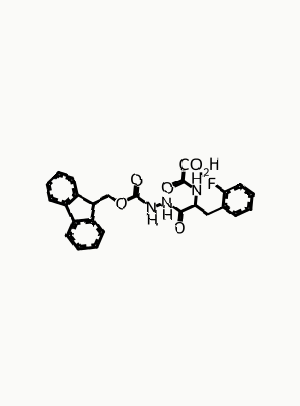 O=C(NNC(=O)C(Cc1ccccc1F)NC(=O)C(=O)O)OCC1c2ccccc2-c2ccccc21